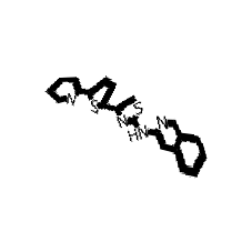 c1ccc(-c2ccc(-c3csc(Nc4cc5ccccc5cn4)n3)s2)nc1